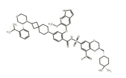 COc1nc2[nH]ccc2cc1Oc1cc(N2CCC3(CC2)CC(N2CCOC[C@H]2c2ccccc2C(C)C)C3)ccc1C(=O)NS(=O)(=O)c1cc2c(c([N+](=O)[O-])c1)O[C@H](C[C@H]1CC[C@](C)(O)CC1)CO2